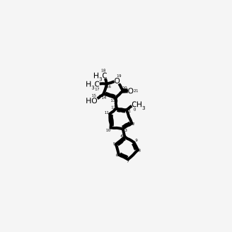 Cc1cc(-c2ccccc2)ccc1C1=C(O)C(C)(C)OC1=O